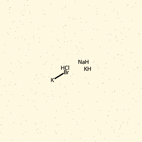 Cl.[KH].[K][Br].[NaH]